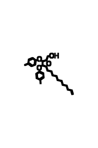 C=CCCCCCCCCCC1OC(CO)C(Oc2ccc(C)cc2)C1Oc1ccc(C)cc1